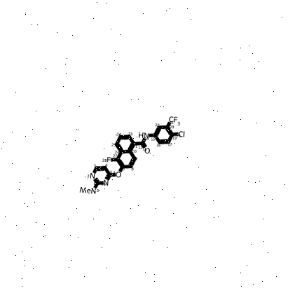 CNc1nccc(Oc2ccc3c(C(=O)Nc4ccc(Cl)c(C(F)(F)F)c4)cccc3c2F)n1